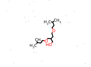 CC(C)CCOCCC(CO)COCCC(C)C